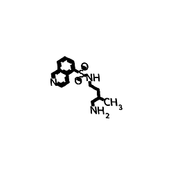 CC(CN)CCNS(=O)(=O)c1cccc2cnccc12